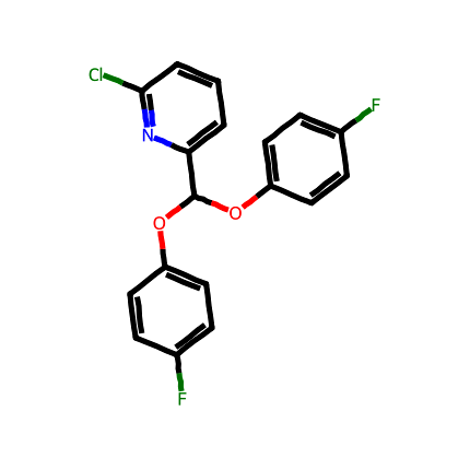 Fc1ccc(OC(Oc2ccc(F)cc2)c2cccc(Cl)n2)cc1